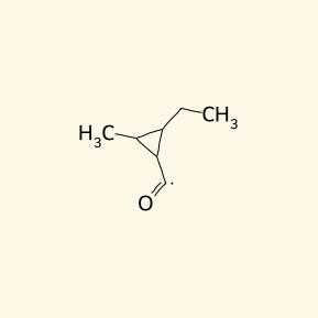 CCC1C(C)C1[C]=O